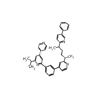 CC(C)c1cc(-c2ccncc2)cc(-c2cccc(-c3ccnc(C(C)CCC(C)c4ccc(-c5ccccc5)cn4)c3)c2)n1